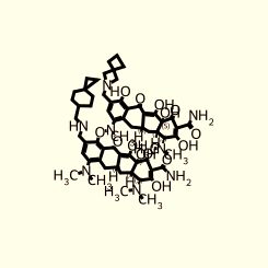 CN(C)c1cc(CNCC2CCC3(CC2)CC3)c(ON(C)c2cc(CN3CC4(CCC4)C3)c(O)c3c2C[C@H]2C[C@H]4[C@H](N(C)C)C(O)=C(C(N)=O)C(=O)[C@@]4(O)C(O)=C2C3=O)c2c1C[C@H]1C[C@H]3[C@H](N(C)C)C(O)=C(C(N)=O)C(=O)[C@@]3(O)C(O)=C1C2=O